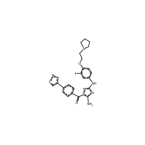 Nc1nc(Nc2ccc(OCCN3CCCC3)c(F)c2)nn1C(=O)c1ccc(-c2csnn2)cc1